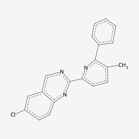 Cc1ccc(-c2ncc3cc(Cl)ccc3n2)nc1-c1ccccc1